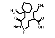 CCCC(CCC)C(=O)O.NCC1(CC(=O)[O-])CCCCC1.[Na+]